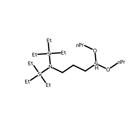 CCCO[SiH](CCCN([Si](CC)(CC)CC)[Si](CC)(CC)CC)OCCC